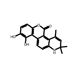 CC1=CC(C)(C)Nc2ccc3c(c21)c(=O)oc1ccc(O)c(O)c13